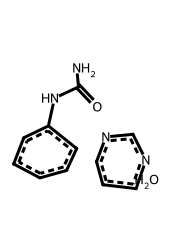 NC(=O)Nc1ccccc1.O.c1cncnc1